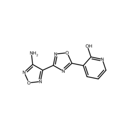 Nc1nonc1-c1noc(-c2cccnc2O)n1